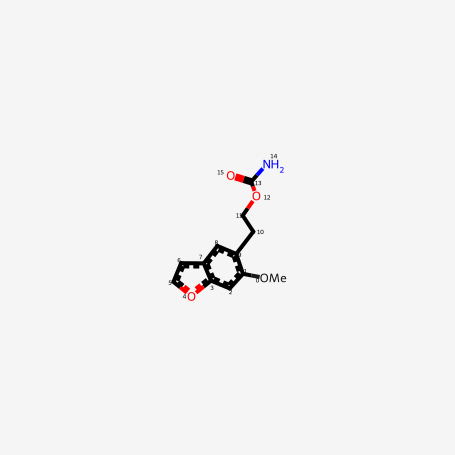 COc1cc2occc2cc1CCOC(N)=O